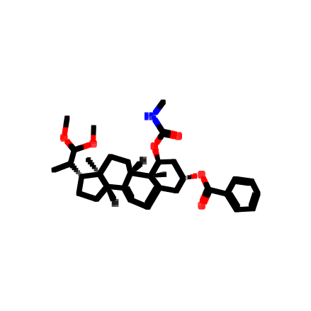 CNC(=O)O[C@H]1C[C@H](OC(=O)c2ccccc2)CC2=CC=C3[C@@H]4CC[C@H](C(C)C(OC)OC)[C@@]4(C)CC[C@@H]3[C@]21C